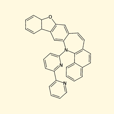 C1=CC2Oc3cc4c(cc3C2C=C1)N(c1cccc(-c2ccccn2)n1)c1c(ccc2ccccc12)C=C4